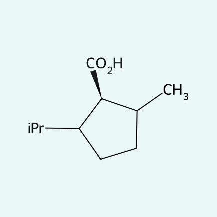 CC(C)C1CCC(C)[C@@H]1C(=O)O